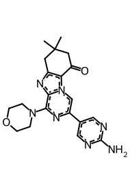 CC1(C)CC(=O)c2c(nc3c(N4CCOCC4)nc(-c4cnc(N)nc4)cn23)C1